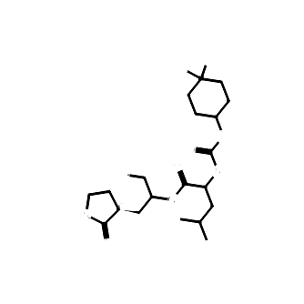 CC(C)CC(NC(=O)OC1CCC(F)(F)CC1)C(=O)NC(CO)C[C@@H]1CCNC1=O